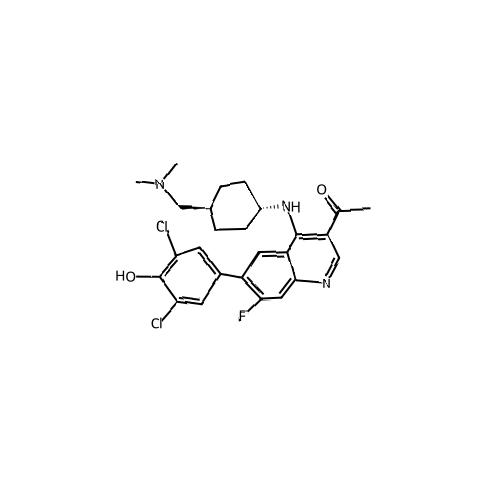 CC(=O)c1cnc2cc(F)c(-c3cc(Cl)c(O)c(Cl)c3)cc2c1N[C@H]1CC[C@H](CN(C)C)CC1